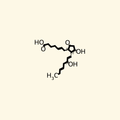 CCC=CC[C@H](O)C=C[C@H]1[C@H](O)CC(=O)[C@@H]1CC=CCCCC(=O)O